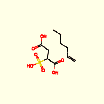 C=CCCCC.O=C(O)CC(C(=O)O)S(=O)(=O)O